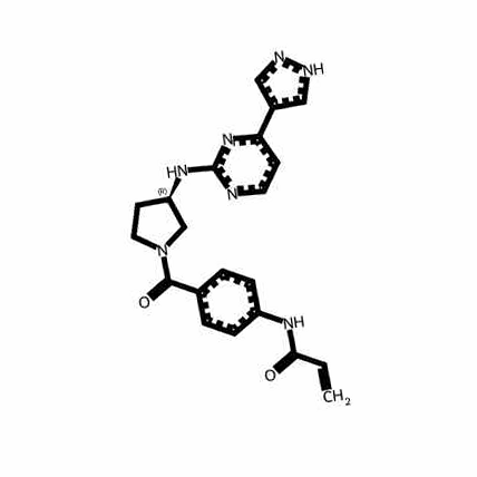 C=CC(=O)Nc1ccc(C(=O)N2CC[C@@H](Nc3nccc(-c4cn[nH]c4)n3)C2)cc1